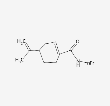 C=C(C)C1CC=C(C(=O)NCCC)CC1